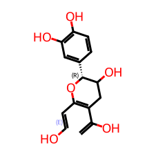 C=C(O)C1=C(/C=C/O)O[C@H](c2ccc(O)c(O)c2)C(O)C1